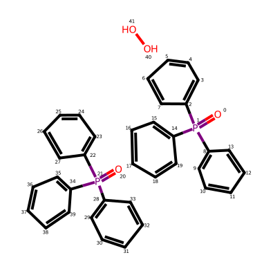 O=P(c1ccccc1)(c1ccccc1)c1ccccc1.O=P(c1ccccc1)(c1ccccc1)c1ccccc1.OO